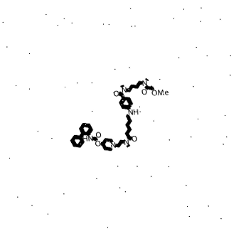 COCC(=O)N(C)CCCCN(C)C(=O)c1ccc(NCCCCCC(=O)N(C)CCN2CCC(OC(=O)Nc3ccccc3-c3ccccc3)CC2)cc1